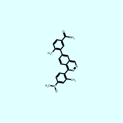 Cc1ccc(C(N)=O)cc1-c1ccc2c(-c3ccc([S+](C)[O-])cc3C)nncc2c1